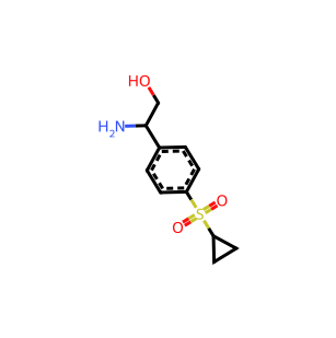 NC(CO)c1ccc(S(=O)(=O)C2CC2)cc1